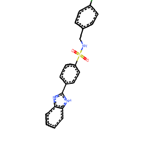 O=S(=O)(NCc1ccc(Cl)cc1)c1ccc(-c2nc3ccccc3[nH]2)cc1